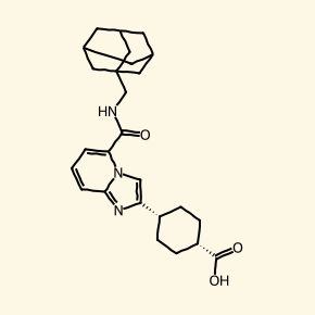 O=C(NCC12CC3CC(CC(C3)C1)C2)c1cccc2nc([C@H]3CC[C@@H](C(=O)O)CC3)cn12